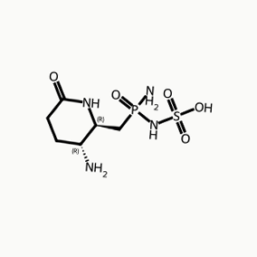 N[C@@H]1CCC(=O)N[C@H]1CP(N)(=O)NS(=O)(=O)O